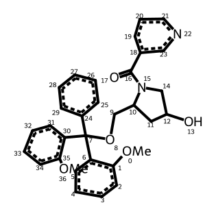 COc1ccccc1C(OCC1CC(O)CN1C(=O)c1cccnc1)(c1ccccc1)c1ccccc1OC